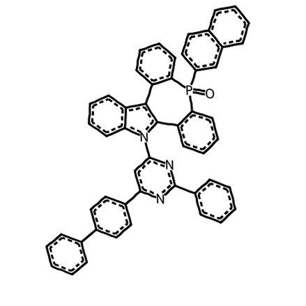 O=P1(c2ccc3ccccc3c2)c2ccccc2-c2c(n(-c3cc(-c4ccc(-c5ccccc5)cc4)nc(-c4ccccc4)n3)c3ccccc23)-c2ccccc21